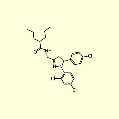 CCCC(CCC)C(=O)NCC1=NN(c2ccc(Cl)cc2Cl)C(c2ccc(Cl)cc2)C1